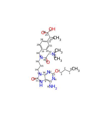 CCCCOc1nc(N)c2[nH]c(=O)n(CCCN(Cc3ccc(C(C)C(=O)O)cc3)C(=O)CN(C)C)c2n1